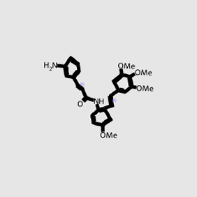 COc1ccc(NC(=O)/C=C/c2cccc(N)c2)c(/C=C/c2cc(OC)c(OC)c(OC)c2)c1